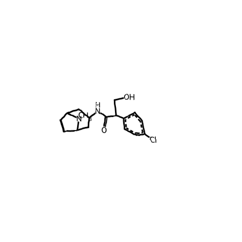 CN1C2CCC1CC(NC(=O)C(CO)c1ccc(Cl)cc1)C2